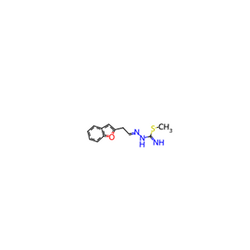 CSC(=N)NN=CCc1cc2ccccc2o1